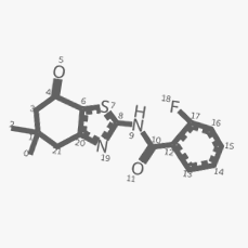 CC1(C)CC(=O)c2sc(NC(=O)c3ccccc3F)nc2C1